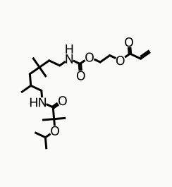 C=CC(=O)OCCOC(=O)NCCC(C)(C)CC(C)CNC(=O)C(C)(C)OC(C)C